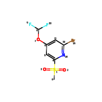 CS(=O)(=O)c1cc(OC(F)F)cc(Br)n1